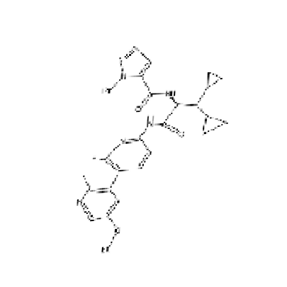 CCOc1cnc(C)c(-c2ccc(NC(=O)[C@@H](NC(=O)c3ccnn3C(C)C)C(C3CC3)C3CC3)nc2F)c1